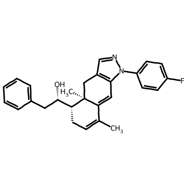 CC1=CC[C@H]([C@@H](O)Cc2ccccc2)[C@@]2(C)Cc3cnn(-c4ccc(F)cc4)c3C=C12